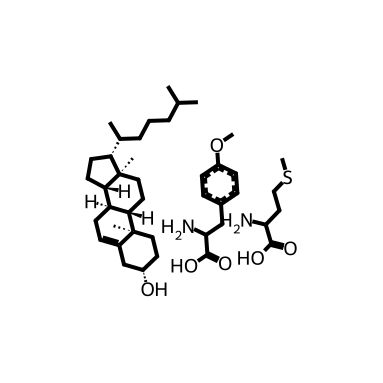 CC(C)CCCC(C)[C@H]1CC[C@H]2[C@@H]3CC=C4C[C@@H](O)CC[C@]4(C)[C@H]3CC[C@]12C.COc1ccc(CC(N)C(=O)O)cc1.CSCCC(N)C(=O)O